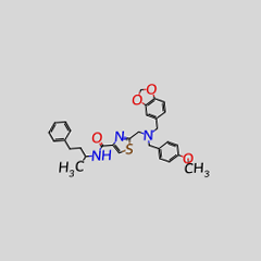 COc1ccc(CN(Cc2ccc3c(c2)OCO3)Cc2nc(C(=O)NC(C)CCc3ccccc3)cs2)cc1